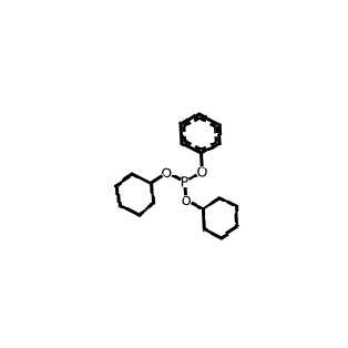 c1ccc(OP(OC2CCCCC2)OC2CCCCC2)cc1